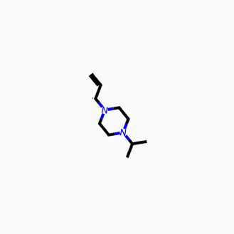 C=C[CH]N1CCN(C(C)C)CC1